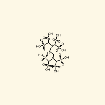 O=S(=O)(O)C(N(CCN(C(S(=O)(=O)O)S(=O)(=O)O)C(S(=O)(=O)O)S(=O)(=O)O)C(S(=O)(=O)O)S(=O)(=O)O)S(=O)(=O)O